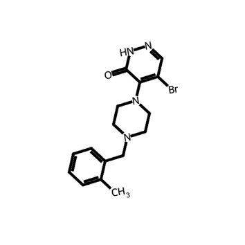 Cc1ccccc1CN1CCN(c2c(Br)cn[nH]c2=O)CC1